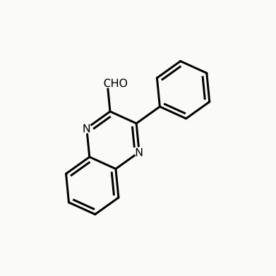 O=Cc1nc2ccccc2nc1-c1ccccc1